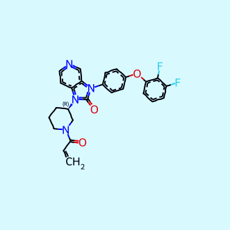 C=CC(=O)N1CCC[C@@H](n2c(=O)n(-c3ccc(Oc4cccc(F)c4F)cc3)c3cnccc32)C1